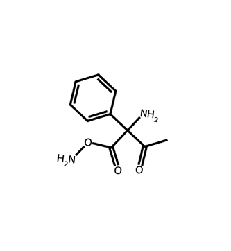 CC(=O)C(N)(C(=O)ON)c1ccccc1